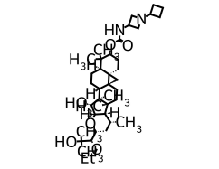 CCO[C@@H]([C@H]1C[C@@H](C)[C@H]2[C@H](O1)[C@H](O)[C@@]1(C)[C@@H]3CC[C@H]4C(C)(C)[C@@H](OC(=O)NC5CN(C6CCC6)C5)CC[C@@]45C[C@@]35CC[C@]21C)C(C)(C)O